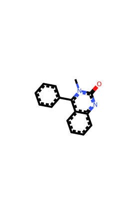 Cn1c(-c2ccccc2)c2ccccc2nc1=O